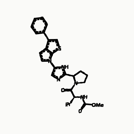 COC(=O)N[C@H](C(=O)N1CCCC1c1ncc(-n2ccc3c(-c4ccccc4)csc32)[nH]1)C(C)C